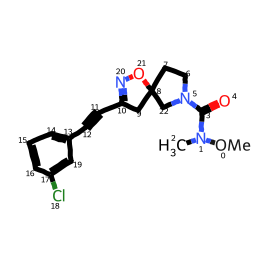 CON(C)C(=O)N1CCC2(CC(C#Cc3cccc(Cl)c3)=NO2)C1